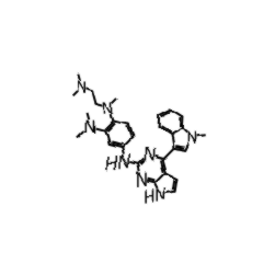 CN(C)CCN(C)c1ccc(Nc2nc(-c3cn(C)c4ccccc34)c3cc[nH]c3n2)cc1N(C)C